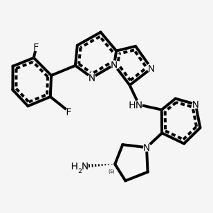 N[C@H]1CCN(c2ccncc2Nc2ncc3ccc(-c4c(F)cccc4F)nn23)C1